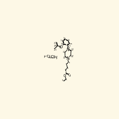 CCOC(=O)CCCCN1CCN(c2ccccc2OC(C)C)CC1.Cl.Cl